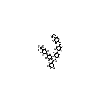 O=[N+]([O-])c1ccc(Oc2ccc(-c3ccc(C=C(c4ccccc4)c4ccc(-c5ccc(C(F)(F)F)cc5)cc4)cc3)cc2)cc1